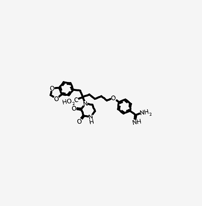 N=C(N)c1ccc(OCCCCC(Cc2ccc3c(c2)OCO3)(C(=O)O)N2CCNC(=O)C2=O)cc1